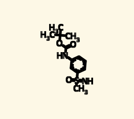 CC(C)(C)OC(=O)Nc1cccc(S(C)(=N)=O)c1